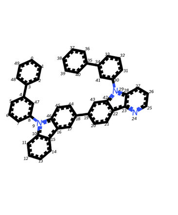 c1ccc(-c2cccc(-n3c4ccccc4c4cc(-c5ccc6c7ncccc7n(-c7cccc(-c8ccccc8)c7)c6c5)ccc43)c2)cc1